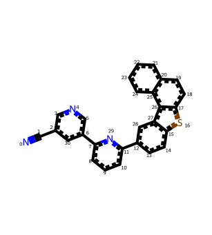 N#Cc1cncc(-c2cccc(-c3ccc4sc5ccc6ccccc6c5c4c3)n2)c1